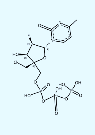 Cc1ccn([C@@H]2O[C@](CCl)(COP(=O)(O)OP(=O)(O)OP(=O)(O)O)[C@@H](O)[C@H]2F)c(=O)n1